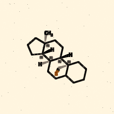 C[C@@]12CCC[C@H]1[C@@H]1CCC3CCCC[C@]3(C=S)[C@H]1CC2